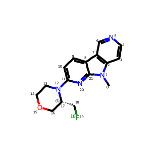 Cn1c2ccncc2c2ccc(N3CCOC[C@H]3C[18F])nc21